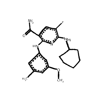 COc1cc(C)cc(Nc2nc(NC3CCCCC3)c(F)cc2C(N)=O)c1